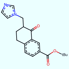 CC(C)(C)OC(=O)c1ccc2c(c1)C(=O)C(Cn1ccnc1)CC2